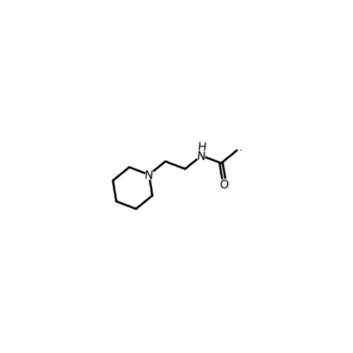 [CH2]C(=O)NCCN1CCCCC1